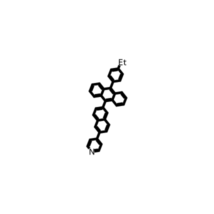 CCc1ccc(-c2c3ccccc3c(-c3ccc4cc(-c5ccncc5)ccc4c3)c3ccccc23)cc1